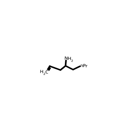 C=CCC(N)CCCC